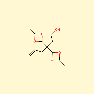 C=CCC(CCO)(C1OC(C)O1)C1OC(C)O1